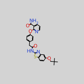 CC(C)(C)COc1ccc2sc(NC(=O)Cc3ccc(Oc4ncccc4C(N)=O)cc3)nc2c1